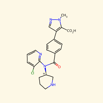 Cn1ncc(-c2ccc(C(=O)N(c3ncccc3Cl)[C@@H]3CCCNC3)cc2)c1C(=O)O